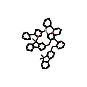 CC1(C)c2ccccc2-c2ccc(Cc3ccccc3-c3ccc(N(c4ccc(-c5ccccc5)cc4)c4ccccc4C4=CC=CCC4)cc3Cc3ccc4c(c3)C(C)(C)c3ccccc3-4)cc21